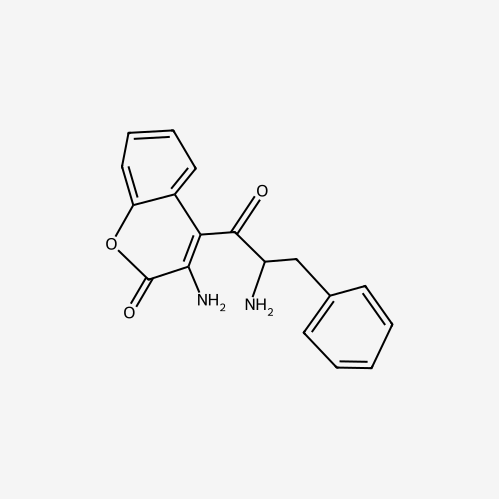 Nc1c(C(=O)C(N)Cc2ccccc2)c2ccccc2oc1=O